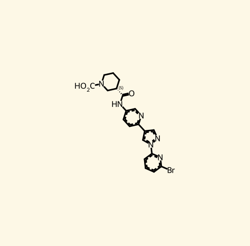 O=C(Nc1ccc(-c2cnn(-c3cccc(Br)n3)c2)nc1)[C@H]1CCCN(C(=O)O)C1